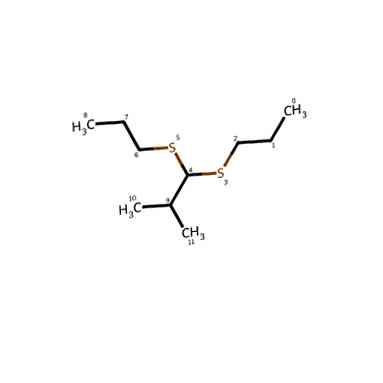 CCCSC(SCCC)C(C)C